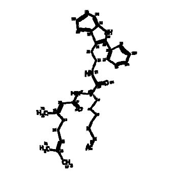 CC(=O)CCCCC[C@H](NC(=O)C=C(C)CCC=C(C)C)C(=O)NCCc1c(-c2ccccc2)[nH]c2ccccc12